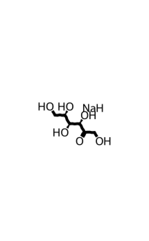 O=C(CO)[C@H](O)[C@@H](O)[C@H](O)CO.[NaH]